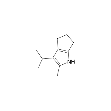 Cc1[nH]c2c(c1C(C)C)CCC2